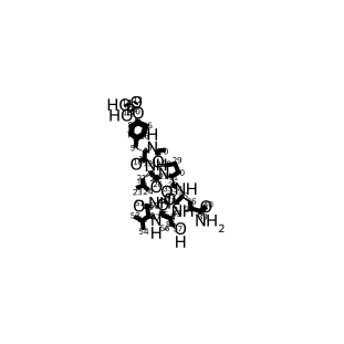 CC(=O)N[C@@H](Cc1ccc(OP(=O)(O)O)cc1)C(=O)N[C@@H](CC(C)C)C(=O)N1CCC[C@H]1C(=O)N[C@@H](CCC(N)=O)C(=O)NC(C(=O)N[C@H](C(N)=O)C(C)C)[C@@H](C)O